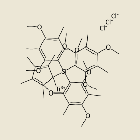 COc1c(C)c(OC)c([Si](c2c(OC)c(C)c(OC)c(C)c2OC)(c2c(OC)c(C)c(OC)c(C)c2OC)[C]2([Ti+3])C(C)=C(C)C(C)=C2C)c(OC)c1C.[Cl-].[Cl-].[Cl-]